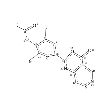 CC(=O)Oc1c(C)cc(-c2nc3ccncc3c(=O)o2)cc1C